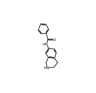 O=C(Nc1ccc2c(c1)CNCC2)c1ccccc1